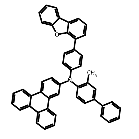 Cc1cc(-c2ccccc2)ccc1N(c1ccc(-c2cccc3c2oc2ccccc23)cc1)c1ccc2c3ccccc3c3ccccc3c2c1